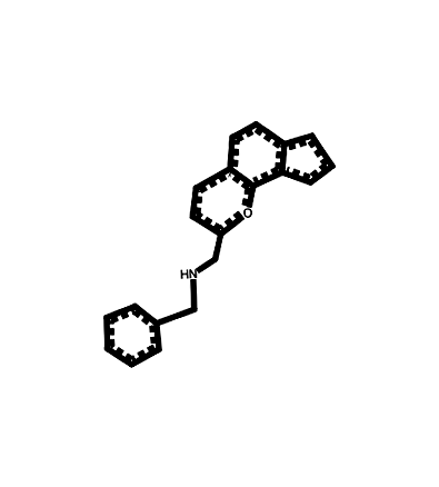 c1ccc(CNCc2ccc3ccc4cccc4c3o2)cc1